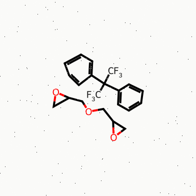 C(OCC1CO1)C1CO1.FC(F)(F)C(c1ccccc1)(c1ccccc1)C(F)(F)F